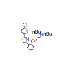 CCCCN(CCCC)CCCOc1ccccc1-c1csc(-c2ccc(Cl)cc2)n1